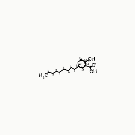 CCCCCCCCCc1ccc(O)c(C(=O)O)c1